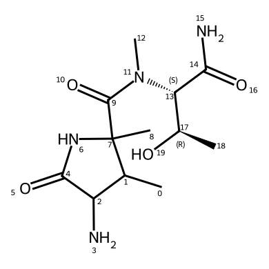 CC1C(N)C(=O)NC1(C)C(=O)N(C)[C@H](C(N)=O)[C@@H](C)O